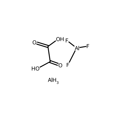 O=C(O)C(=O)O.[AlH3].[F][Al]([F])[F]